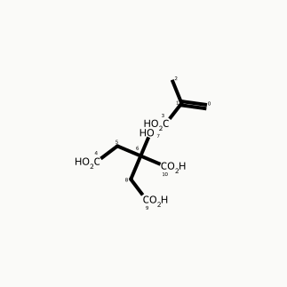 C=C(C)C(=O)O.O=C(O)CC(O)(CC(=O)O)C(=O)O